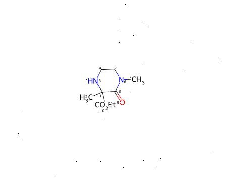 CCOC(=O)C1(C)NCCN(C)C1=O